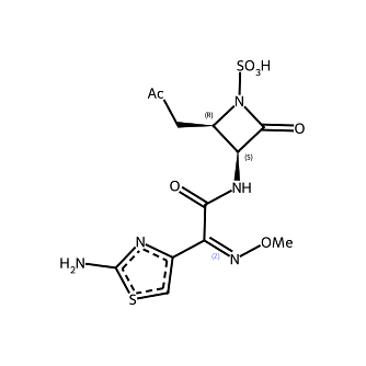 CO/N=C(\C(=O)N[C@@H]1C(=O)N(S(=O)(=O)O)[C@@H]1CC(C)=O)c1csc(N)n1